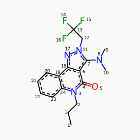 CCCn1c(=O)c2c(N(C)C)n(CC(F)(F)F)nc2c2ccccc21